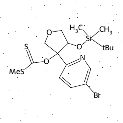 CSC(=S)OC1(c2ccc(Br)cn2)COCC1O[Si](C)(C)C(C)(C)C